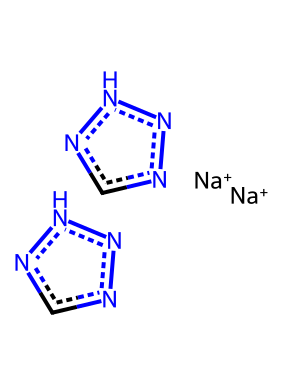 [Na+].[Na+].c1nn[nH]n1.c1nn[nH]n1